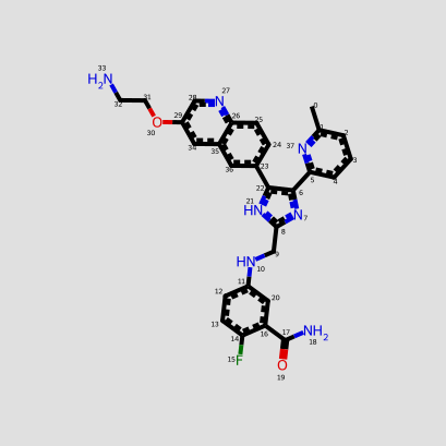 Cc1cccc(-c2nc(CNc3ccc(F)c(C(N)=O)c3)[nH]c2-c2ccc3ncc(OCCN)cc3c2)n1